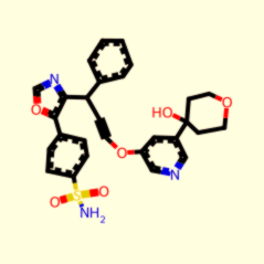 NS(=O)(=O)c1ccc(-c2ocnc2C(C#COc2cncc(C3(O)CCOCC3)c2)c2ccccc2)cc1